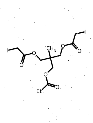 CCC(=O)OCC(C)(COC(=O)CI)COC(=O)CI